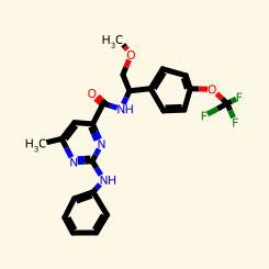 COCC(NC(=O)c1cc(C)nc(Nc2ccccc2)n1)c1ccc(OC(F)(F)F)cc1